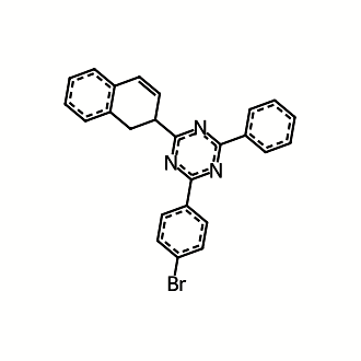 Brc1ccc(-c2nc(-c3ccccc3)nc(C3C=Cc4ccccc4C3)n2)cc1